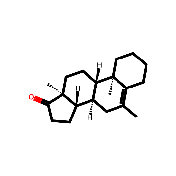 CC1=C2CCCC[C@]2(C)[C@H]2CC[C@]3(C)C(=O)CC[C@H]3[C@@H]2C1